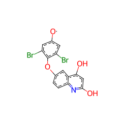 [O]c1cc(Br)c(Oc2ccc3nc(O)cc(O)c3c2)c(Br)c1